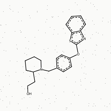 OCCC1CCCCN1Cc1ccc(Oc2nc3ccccc3s2)cc1